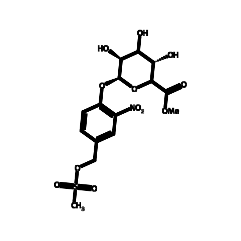 COC(=O)C1O[C@@H](Oc2ccc(COS(C)(=O)=O)cc2[N+](=O)[O-])[C@@H](O)C(O)[C@@H]1O